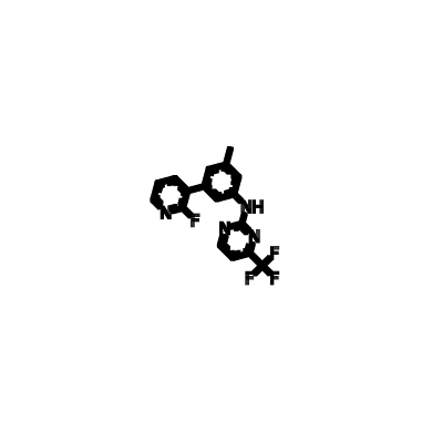 Cc1cc(Nc2nccc(C(F)(F)F)n2)cc(-c2cccnc2F)c1